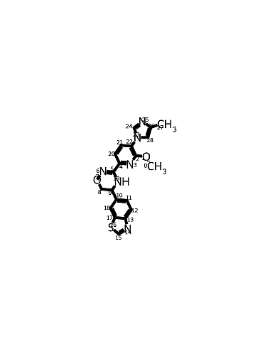 COc1nc(C2=NOCC(c3ccc4ncsc4c3)N2)ccc1-n1cnc(C)c1